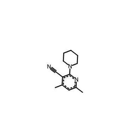 Cc1cc(C)c(C#N)c(N2CCCCC2)n1